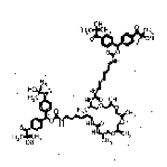 CC(COCC(C)OCC(C)OCC(C)OCC(C)NC(=O)NCCCCCCNC(=O)OC(c1ccc(C(=O)C(C)(C)O)cc1)c1ccc(C(=O)C(C)(C)O)cc1)NC(=O)NCCCCCCNC(=O)OC(c1ccc(C(=O)C(C)(C)O)cc1)c1ccc(C(=O)C(C)(C)O)cc1